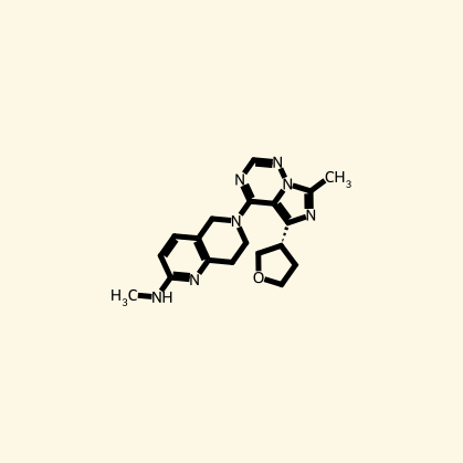 CNc1ccc2c(n1)CCN(c1ncnn3c(C)nc([C@@H]4CCOC4)c13)C2